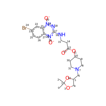 CC1(C)OCC(CN2CCC(OC(=O)CCNc3n[n+]([O-])c4cc(Br)ccc4[n+]3[O-])CC2)O1